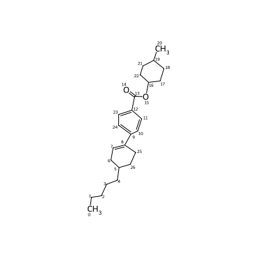 CCCCCC1CC=C(c2ccc(C(=O)OC3CCC(C)CC3)cc2)CC1